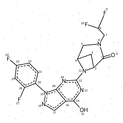 O=C1C2CC(CN1CC(F)F)N2c1nc(O)c2cnn(-c3ccc(F)cc3F)c2n1